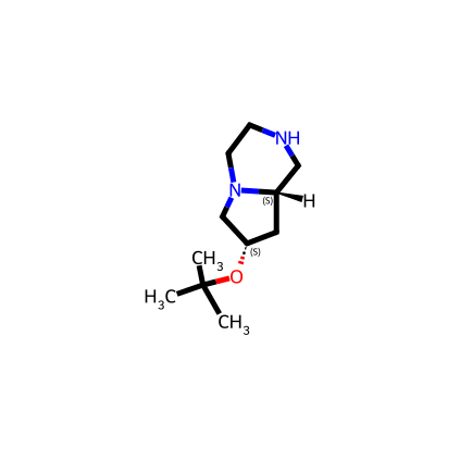 CC(C)(C)O[C@H]1C[C@H]2CNCCN2C1